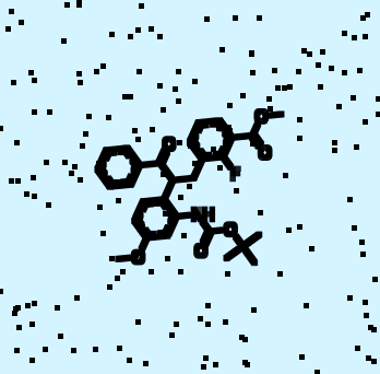 COC(=O)c1cccc(CC(C(=O)c2ccccc2)c2ccc(OC)cc2NC(=O)OC(C)(C)C)c1F